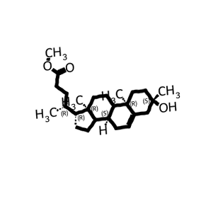 COC(=O)CC[C@@H](C)[C@H]1CCC2[C@@H]3CC=C4C[C@@](C)(O)CC[C@]4(C)C3CC[C@@]21C